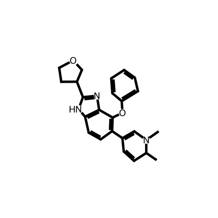 CC1C=CC(c2ccc3[nH]c(C4CCOC4)nc3c2Oc2ccccc2)=CN1C